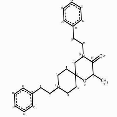 CC1OC2(CCN(CCc3ccccc3)CC2)CN(CCc2ccccc2)C1=O